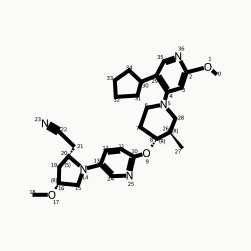 COc1cc(N2CC[C@@H](Oc3ccc(N4C[C@H](OC)C[C@@H]4CC#N)cn3)[C@H](C)C2)c(C2CCCC2)cn1